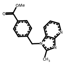 COC(=O)c1ccc(Cn2c(C)nc3ncccc32)cc1